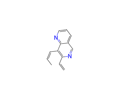 C=Cc1ncc2cccnc2c1/C=C\C